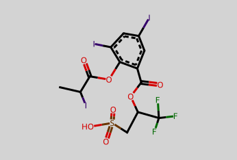 CC(I)C(=O)Oc1c(I)cc(I)cc1C(=O)OC(CS(=O)(=O)O)C(F)(F)F